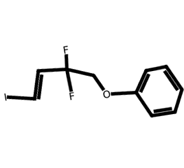 FC(F)(/C=C/I)COc1ccccc1